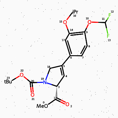 COC(=O)[C@H]1C=C(c2ccc(OC(F)F)c(OC(C)C)c2)CN1C(=O)OC(C)(C)C